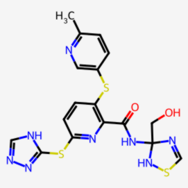 Cc1ccc(Sc2ccc(Sc3nnc[nH]3)nc2C(=O)NC2(CO)N=CSN2)cn1